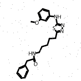 COc1cccc(Nc2nnc(CCCCCNC(=O)Cc3ccccc3)s2)c1